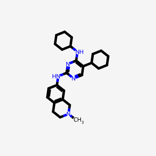 CN1CCc2ccc(Nc3ncc(C4CCCCC4)c(NC4CCCCC4)n3)cc2C1